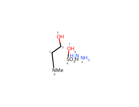 CNCCO.N.N.O=S(=O)(O)O